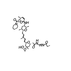 CCC(=O)NCCNC(=O)C[C@@H]1C[C@](C)(OC)[C@H](O)[C@@H](/C=C/C(C)=C/C[C@@H]2O[C@H](C)[C@H](NC(=O)/C=C\[C@H](C)OC(=O)N3CCCCC3)C[C@@H]2C)O1